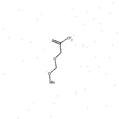 C=C(COCOC(C)(C)C)C(F)(F)F